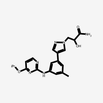 Cc1cc(Nc2nccc(OC(C)C)n2)cc(-c2cnn(CC(O)C(N)=O)c2)c1